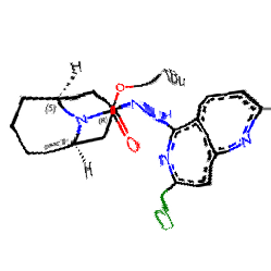 CC(C)(C)OC(=O)N1[C@@H]2CCC[C@H]1C[C@@H](Nc1nc(Cl)cc3ncccc13)C2